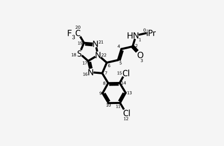 CC(C)NC(=O)/C=C/C1C(c2ccc(Cl)cc2Cl)N=C2SC(C(F)(F)F)=NN21